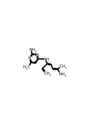 C=C/C(=C\C=C(/C)N)Nc1cc(C)nc(N)n1